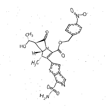 C[C@@H](O)[C@H]1C(=O)N2C(C(=O)OCc3ccc([N+](=O)[O-])cc3)=C(c3cn4cnc(S(N)(=O)=O)c4s3)[C@H](C)[C@H]12